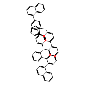 c1ccc(-c2cccc3ccccc23)c(-c2ccccc2N(c2ccc(-c3ccc(-c4cccc5ccccc45)cc3)cc2)c2ccccc2-c2ccc3sc4ccccc4c3c2)c1